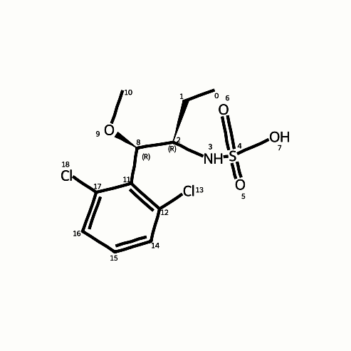 CC[C@@H](NS(=O)(=O)O)[C@H](OC)c1c(Cl)cccc1Cl